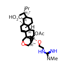 CNC(=N)NCCO[C@H]1[C@H](OC(C)=O)C[C@]23COC[C@@]1(C)[C@@H]2CC[C@H]1C3=CC[C@@]2(C)[C@H](C(=O)O)[C@@](C)([C@H](C)C(C)C)CC[C@]12C